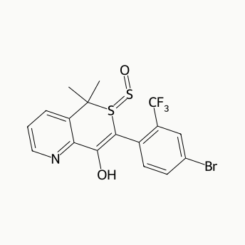 CC1(C)c2cccnc2C(O)=C(c2ccc(Br)cc2C(F)(F)F)S1=S=O